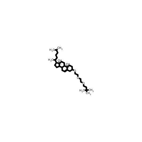 CC(C)CCCC(C)C1CCC2C3CC=C4CC(OCCOCCOCCC(C)(C)C)CC[C@]4(C)C3CC[C@]12C